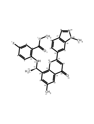 COC(=O)c1cc(F)ccc1N[C@H](C)c1cc(C)cc2c(=O)cc(-c3ccc4cnn(C)c4c3)oc12